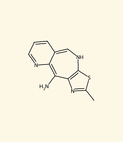 Cc1nc2c(s1)NC=c1cccnc1=C2N